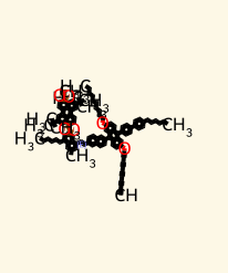 C#CC#CC#CC#CC#COc1ccc2c(-c3ccc4cc(/C=C/c5cc(C)cc6c(CCCCCC)cc(S(=O)(=O)c7ccc8c9cc(C(C)(C)C)cc%10c(S(C)(=O)=O)ccc(c%11cc(C(C)(C)C)cc7c8%11)c%109)cc56)ccc4c3)c3cc(OCCCCCCCCCC)ccc3c(-c3ccc(-c4ccc(CCCCCC)cc4)cc3)c2c1